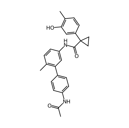 CC(=O)Nc1ccc(-c2cc(NC(=O)C3(c4ccc(C)c(O)c4)CC3)ccc2C)cc1